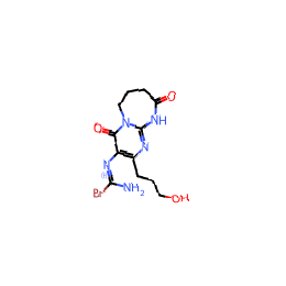 N/C(Br)=N\c1c(CCCO)nc2n(c1=O)CCCC(=O)N2